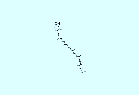 CC1=C(C#C/C(C)=C/C=C/C(C)=C/C=C/C=C(C)/C=C/C=C(\C)C#CC2=C(C)C[C@@H](O)CC2(C)C)C(C)(C)C[C@H](O)C1